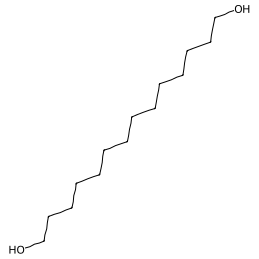 OCCCCCCCCCCCCCCO